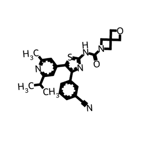 Cc1cc(-c2sc(NC(=O)N3CC4(COC4)C3)nc2-c2cccc(C#N)c2)cc(C(C)C)n1